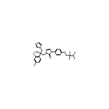 O=c1n(-c2ccc(OCC(F)(F)C(F)F)cc2)cnn1CC(O)(Cn1ccnc1)c1ccc(F)cc1F